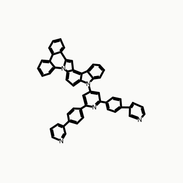 c1cncc(-c2ccc(-c3cc(-n4c5ccccc5c5c6cc7c8ccccc8c8ccccc8n7c6ccc54)cc(-c4ccc(-c5cccnc5)cc4)n3)cc2)c1